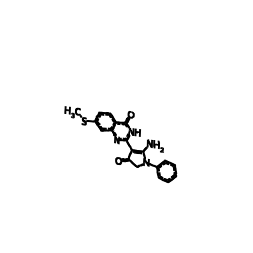 CSc1ccc2c(=O)[nH]c(C3=C(N)N(c4ccccc4)CC3=O)nc2c1